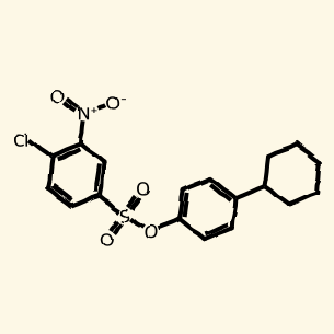 O=[N+]([O-])c1cc(S(=O)(=O)Oc2ccc(C3CCCCC3)cc2)ccc1Cl